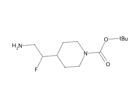 CC(C)(C)OC(=O)N1CCC(C(F)CN)CC1